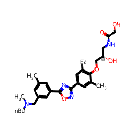 CCCCN(C)Cc1cc(C)cc(-c2nc(-c3cc(C)c(OC[C@@H](O)CNC(=O)CO)c(CC)c3)no2)c1